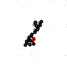 c1ccc(-n2c3ccccc3c3c4c5c6c(ccc5n5c7ccc8c9ccccc9n(-c9ccccc9)c8c7c(cc32)c45)c2ccc(-c3ccc4c(c3)oc3c4ccc4c3c3cc5oc7ccccc7c5c5c7c8oc9ccccc9c8ccc7n4c35)cc2n6-c2ccccc2)cc1